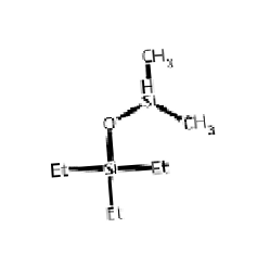 CC[Si](CC)(CC)O[SiH](C)C